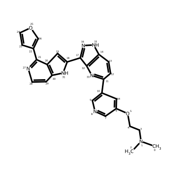 CN(C)CCOc1cncc(-c2ccc3[nH]nc(-c4cc5c(-c6ccoc6)nccc5[nH]4)c3n2)c1